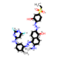 CCS(=O)(=O)c1ccc(/N=N/c2ccc3c(/N=N/c4cc(Nc5cc(F)nc(F)n5)ccc4C)c(NC)ccc3c2O)c(O)c1